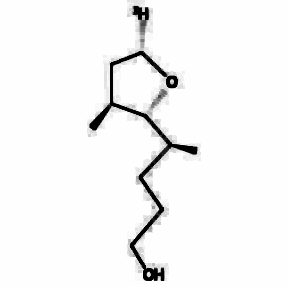 [3H][C@H]1C[C@H](C)[C@@H]([C@@H](C)CCCO)O1